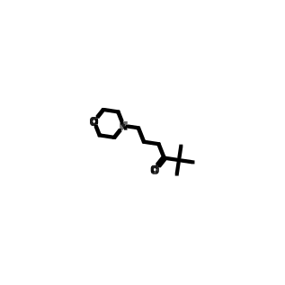 CC(C)(C)C(=O)CCCN1CCOCC1